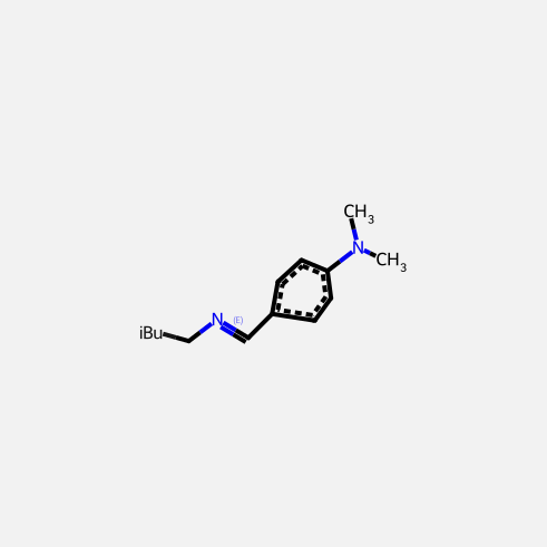 CCC(C)C/N=C/c1ccc(N(C)C)cc1